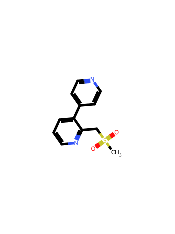 CS(=O)(=O)Cc1ncccc1-c1ccncc1